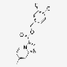 Cc1ccn2c(C(=O)OCc3ccc(Cl)c(Cl)c3)cnc2c1